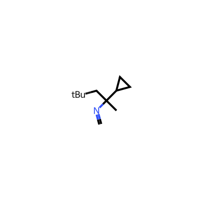 C=NC(C)(CC(C)(C)C)C1CC1